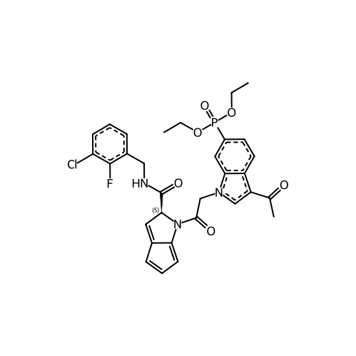 CCOP(=O)(OCC)c1ccc2c(C(C)=O)cn(CC(=O)N3C4=CC=CC4=C[C@H]3C(=O)NCc3cccc(Cl)c3F)c2c1